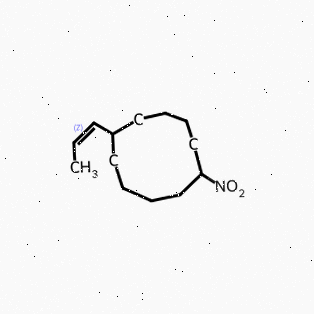 C/C=C\C1CCCCC([N+](=O)[O-])CCCC1